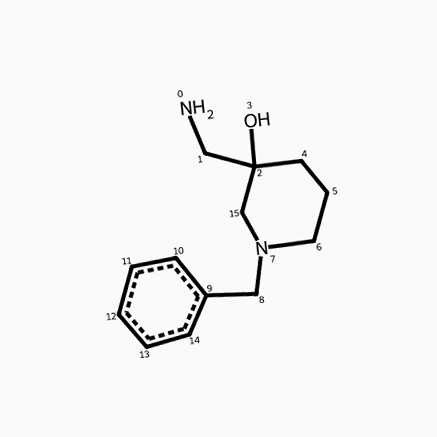 NCC1(O)CCCN(Cc2ccccc2)C1